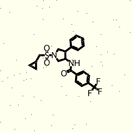 O=C(NC1CN(S(=O)(=O)CC2CC2)CC1c1ccccc1)c1ccc(C(F)(F)F)cc1